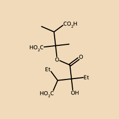 CCC(C(=O)O)C(O)(CC)C(=O)OC(C)(C(=O)O)C(C)C(=O)O